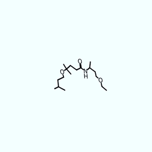 CCOCCC(C)NC(=O)CCC(C)(C)OCCC(C)C